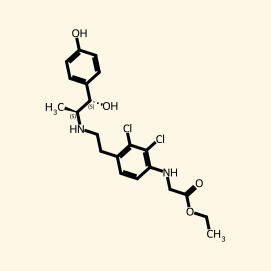 CCOC(=O)CNc1ccc(CCN[C@@H](C)[C@@H](O)c2ccc(O)cc2)c(Cl)c1Cl